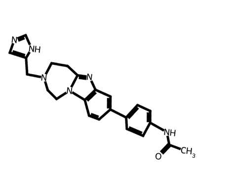 CC(=O)Nc1ccc(-c2ccc3c(c2)nc2n3CCN(Cc3cnc[nH]3)CC2)cc1